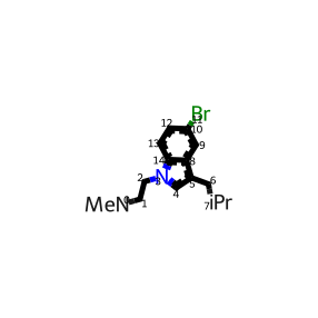 CNCCn1cc(CC(C)C)c2cc(Br)ccc21